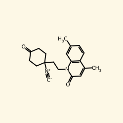 [C-]#[N+]C1(CCn2c(=O)cc(C)c3ccc(C)cc32)CCC(=O)CC1